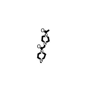 CC(=O)N1CCN(CC(=O)N2CCN(C)CC2)CC1